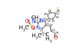 CC(C)c1nc(N(C)S(C)(=O)=O)nc(-c2ccc(F)cc2)c1/C=C/C=O